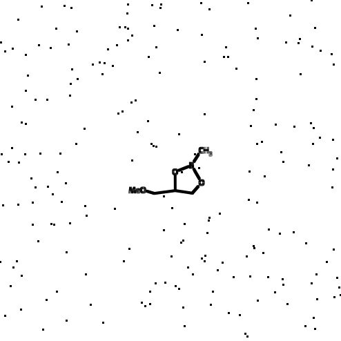 COCC1COB(C)O1